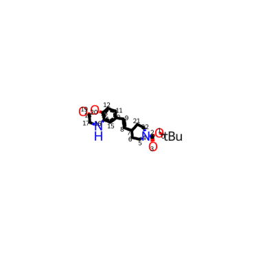 CC(C)(C)OC(=O)N1CCC(C=Cc2ccc3c(c2)NCC(=O)O3)CC1